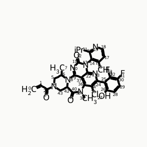 C=CC(=O)N1CC(C)N2c3nc(=O)n(-c4c(C)ccnc4C(C)C)c4nc(-c5c(O)ccc(F)c5F)c(Cl)c(c34)N(C)C(=O)C2C1